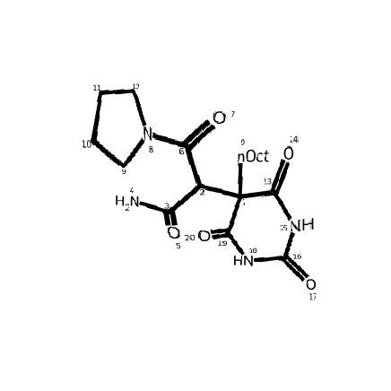 CCCCCCCCC1(C(C(N)=O)C(=O)N2CCCC2)C(=O)NC(=O)NC1=O